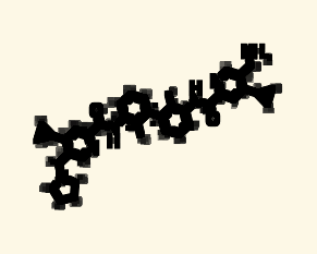 Cc1c(NC(=O)c2cc(C3CC3)c(CN)cn2)cccc1-c1cccc(NC(=O)c2cc(C3CC3)c(CN3CCCC3)cn2)c1C